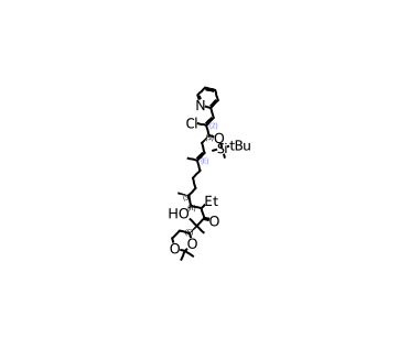 CCC(C(=O)C(C)(C)[C@@H]1CCOC(C)(C)O1)[C@H](O)[C@@H](C)CCC/C(C)=C/C[C@H](O[Si](C)(C)C(C)(C)C)/C(Cl)=C/c1ccccn1